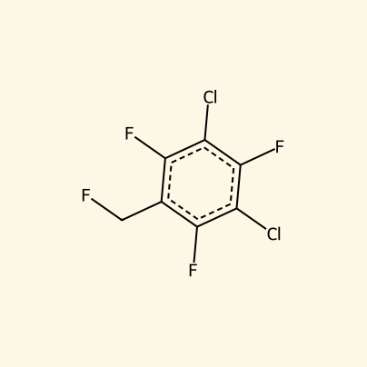 FCc1c(F)c(Cl)c(F)c(Cl)c1F